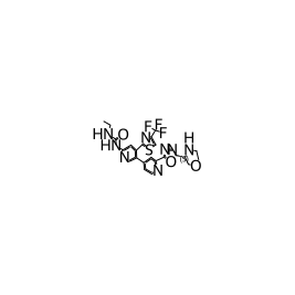 CCNC(=O)Nc1cc(-c2nc(C(F)(F)F)cs2)c(-c2ccnc(-c3nnc([C@@H]4COCCN4)o3)c2)cn1